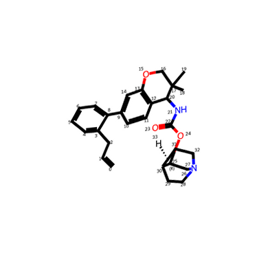 C=CCc1ccccc1-c1ccc2c(c1)OCC(C)(C)C2NC(=O)O[C@H]1CN2CCC1CC2